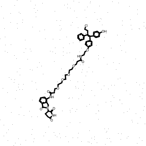 O=C(CCOCCOCCOCCOCCC(=O)Nc1cccc2c1CN(C1CCC(=O)NC1=O)C2=O)NCCOc1ccc(C(=C(CCCl)c2ccccc2)c2ccc(O)cc2)cc1